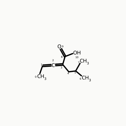 CC=C=C(CC(C)C)C(=O)O